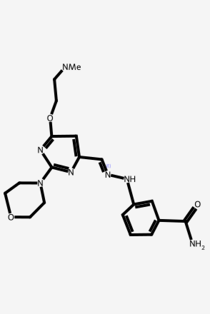 CNCCOc1cc(/C=N/Nc2cccc(C(N)=O)c2)nc(N2CCOCC2)n1